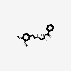 COc1ccc(CCNC[C@@H](C)NC(=O)c2ccccc2)cc1OC